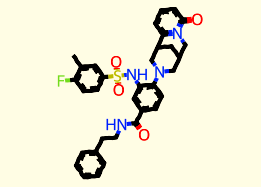 Cc1cc(S(=O)(=O)Nc2cc(C(=O)NCCc3ccccc3)ccc2N2CC3CC(C2)c2cccc(=O)n2C3)ccc1F